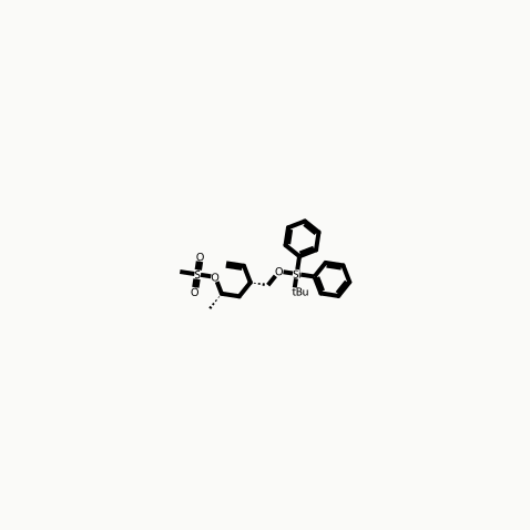 C=C[C@H](CO[Si](c1ccccc1)(c1ccccc1)C(C)(C)C)C[C@H](C)OS(C)(=O)=O